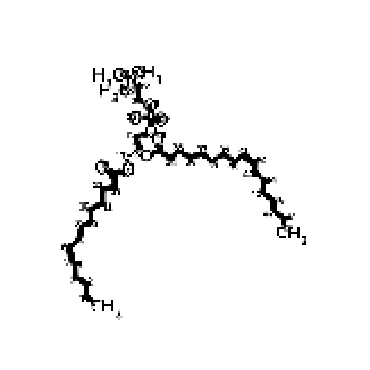 CCCCC/C=C\CCCCCCCC(=O)OC[C@H](COP(=O)([O-])OCC[N+](C)(C)C)OC(=O)CCCCCCC/C=C\CCCCCCC